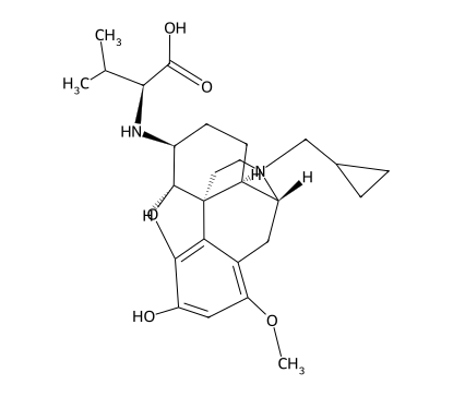 COc1cc(O)c2c3c1C[C@@H]1[C@@H]4CC[C@H](N[C@H](C(=O)O)C(C)C)[C@H](O2)[C@]34CCN1CC1CC1